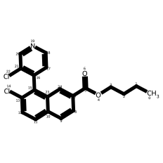 CCCCOC(=O)c1ccc2ccc(Cl)c(-c3ccncc3Cl)c2c1